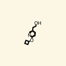 OCCc1ccc(OC2CCC2)nc1